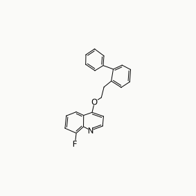 Fc1cccc2c(OCCc3ccccc3-c3ccccc3)ccnc12